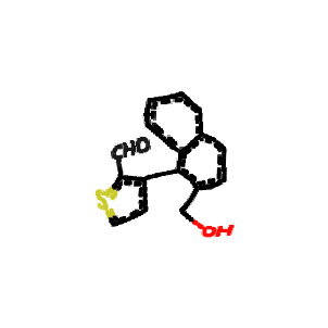 O=Cc1sccc1-c1c(CO)ccc2ccccc12